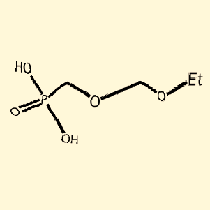 CCOCOCP(=O)(O)O